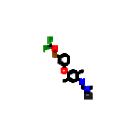 CCN(C)C=Nc1cc(C)c(Oc2cccc(SOC(F)F)c2)cc1C